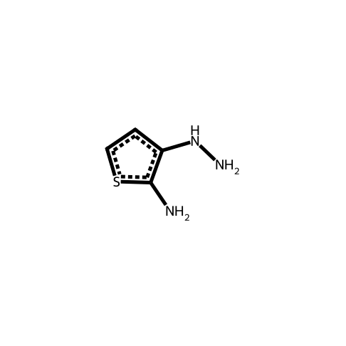 NNc1ccsc1N